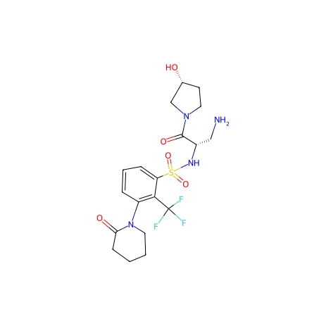 NC[C@H](NS(=O)(=O)c1cccc(N2CCCCC2=O)c1C(F)(F)F)C(=O)N1CC[C@@H](O)C1